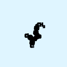 CCN1CCN(c2cccc(CS(=O)(=O)C=C3CN(C(c4ccc(Cl)cc4)c4ccc(Cl)cc4)C3)c2)CC1